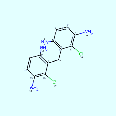 Nc1ccc(N)c(Cc2c(N)ccc(N)c2Cl)c1Cl